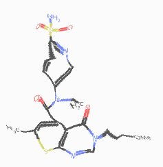 COCCn1cnc2sc(C)c(C(=O)N(C)c3ccc(S(N)(=O)=O)nc3)c2c1=O